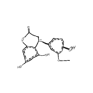 COc1cc([C@@H]2CC(=O)Oc3cc(O)cc(O)c32)ccc1O